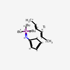 CC=CC=CC.CCC(C)P(=NC1=CC=CC1)(C(C)CC)C(C)CC.[Ti]